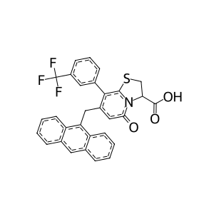 O=C(O)C1CSc2c(-c3cccc(C(F)(F)F)c3)c(Cc3c4ccccc4cc4ccccc34)cc(=O)n21